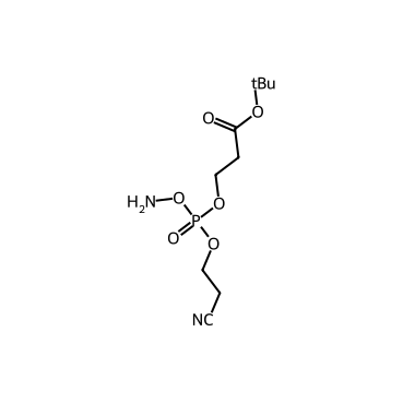 CC(C)(C)OC(=O)CCOP(=O)(ON)OCCC#N